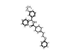 COc1cccc(C(NC(=O)C2CCN(CCOc3ccccc3)CC2)c2ccccn2)c1